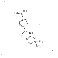 C[C@H](NC(=O)OC(C)(C)C)c1ccc(B(O)O)cc1